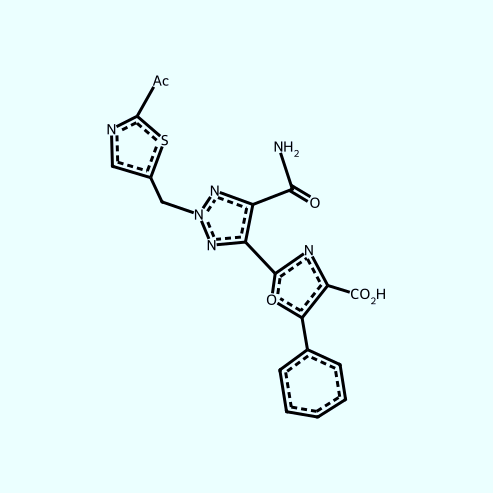 CC(=O)c1ncc(Cn2nc(C(N)=O)c(-c3nc(C(=O)O)c(-c4ccccc4)o3)n2)s1